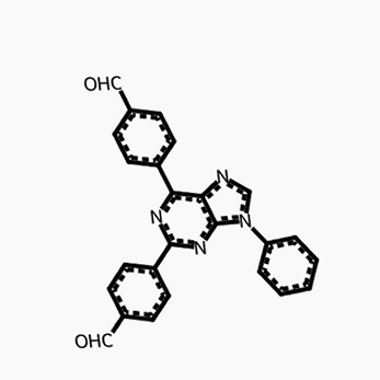 O=Cc1ccc(-c2nc(-c3ccc(C=O)cc3)c3ncn(-c4ccccc4)c3n2)cc1